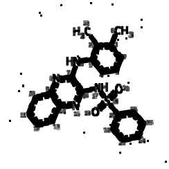 Cc1cccc(Nc2nc3ccccc3nc2NS(=O)(=O)c2cc[c]cc2)c1C